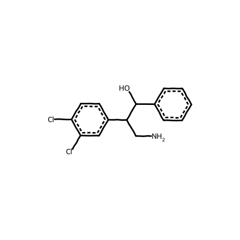 NCC(c1ccc(Cl)c(Cl)c1)C(O)c1ccccc1